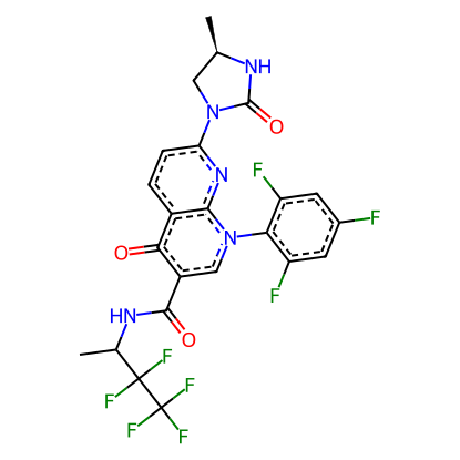 CC(NC(=O)c1cn(-c2c(F)cc(F)cc2F)c2nc(N3C[C@@H](C)NC3=O)ccc2c1=O)C(F)(F)C(F)(F)F